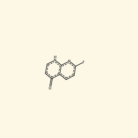 O=c1cc[nH]c2nc(F)ccc12